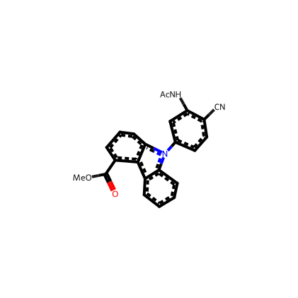 COC(=O)c1cccc2c1c1ccccc1n2-c1ccc(C#N)c(NC(C)=O)c1